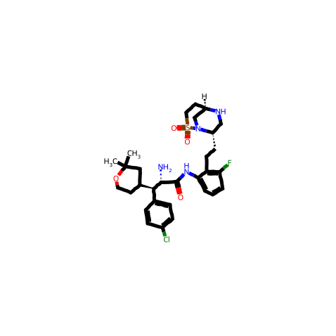 CC1(C)CC([C@H](c2ccc(Cl)cc2)[C@H](N)C(=O)Nc2cccc(F)c2CC[C@H]2CN[C@@H]3CCS(=O)(=O)N2C3)CCO1